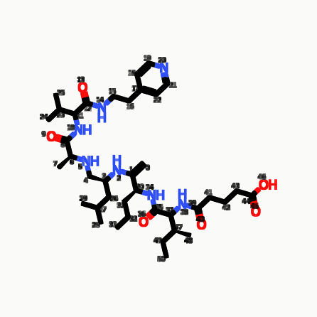 C=C(N[C@H](CN[C@@H](C)C(=O)NC(C(=O)NCCc1ccncc1)C(C)C)CC(C)C)[C@H](CCC)NC(=O)C(NC(=O)CCCC(=O)O)[C@@H](C)CC